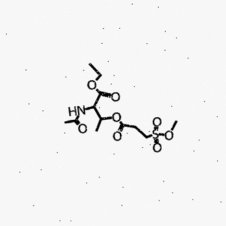 CCOC(=O)C(NC(C)=O)C(C)OC(=O)CCS(=O)(=O)OC